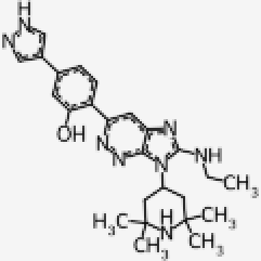 CCNc1nc2cc(-c3ccc(-c4cn[nH]c4)cc3O)nnc2n1C1CC(C)(C)NC(C)(C)C1